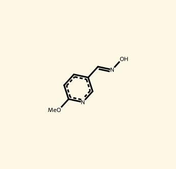 COc1ccc(/C=N/O)cn1